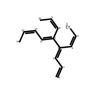 C=C/C=C(\C=C/CC)C(/C=C\C)=C/C=C\C